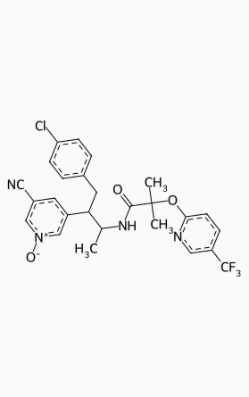 CC(NC(=O)C(C)(C)Oc1ccc(C(F)(F)F)cn1)C(Cc1ccc(Cl)cc1)c1cc(C#N)c[n+]([O-])c1